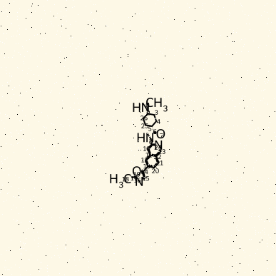 CN[C@H]1CC[C@H](C(=O)Nc2cc3cc(-c4cnc(C)o4)ccc3cn2)CC1